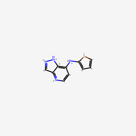 c1csc(Nc2ccnc3cn[nH]c23)c1